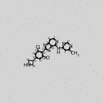 Cc1cc(Nc2nccc3nc(-c4c(Cl)cc(C5CNC5)cc4Cl)sc23)ncn1